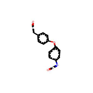 O=C=Cc1ccc(Oc2ccc(N=C=O)cc2)cc1